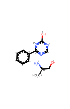 N[C@@H](CO)C(=O)O.Oc1ncnc(-c2ccccc2)n1